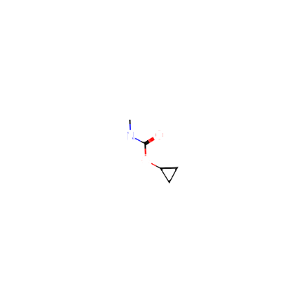 C[N]C(=O)OC1CC1